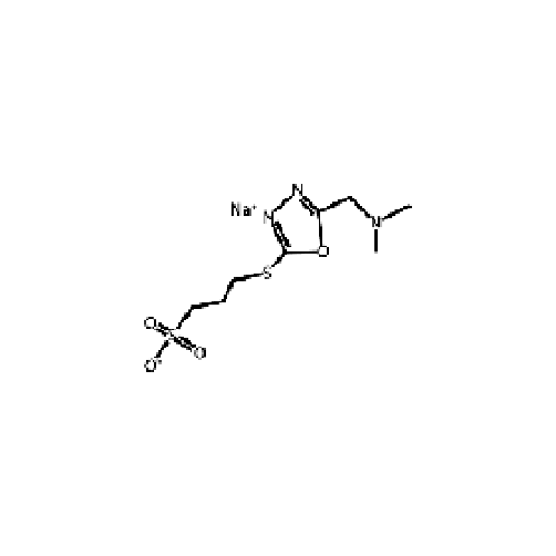 CN(C)Cc1nnc(SCCCS(=O)(=O)[O-])o1.[Na+]